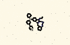 C=C\C=C(C1=C(\C)Cc2ccccc2/C=C/C=C\1)\c1ccc(N(c2ccccc2)c2cccc(-c3ccncc3)c2)cc1